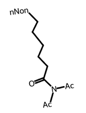 CCCCCCCCCCCCCCC(=O)N(C(C)=O)C(C)=O